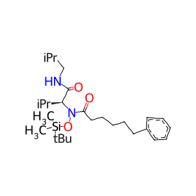 CC(C)CNC(=O)[C@H](C(C)C)N(O[Si](C)(C)C(C)(C)C)C(=O)CCCCCc1ccccc1